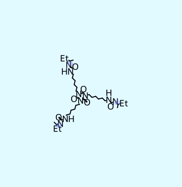 CC/C(C)=N/C(=O)NCCCCCCn1c(=O)n(CCCCCCNC(=O)/N=C(\C)CC)c(=O)n(CCCCCCNC(=O)/N=C(\C)CC)c1=O